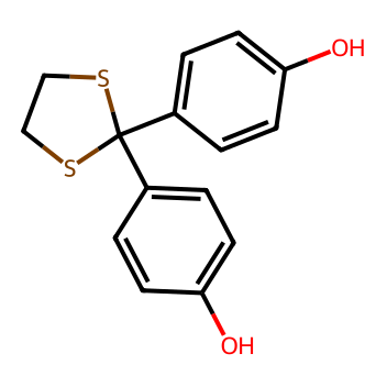 Oc1ccc(C2(c3ccc(O)cc3)SCCS2)cc1